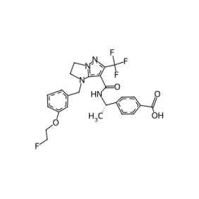 C[C@H](NC(=O)c1c(C(F)(F)F)nn2c1N(Cc1cccc(OCCF)c1)CC2)c1ccc(C(=O)O)cc1